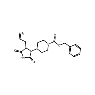 C=CCC1C(=O)NC(=O)N1C1CCN(C(=O)OCc2ccccc2)CC1